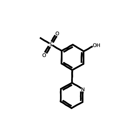 CS(=O)(=O)c1cc(O)cc(-c2ccccn2)c1